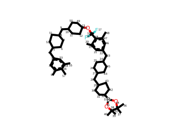 Cc1cc(CC2CCC(CC3CCC(OC(F)(F)c4c(C)cc(CC5CCC(CC6CCC(B7OC(C)(C)C(C)(C)O7)CC6)CC5)cc4C)CC3)CC2)cc(C)c1C